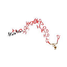 O.O.O.O.O.O.O.O.O.O.[Na+].[Na+].[O-]S([O-])=S